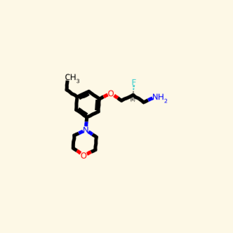 CCc1cc(OC[C@H](F)CN)cc(N2CCOCC2)c1